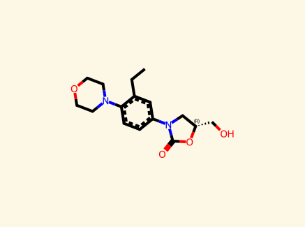 CCc1cc(N2C[C@H](CO)OC2=O)ccc1N1CCOCC1